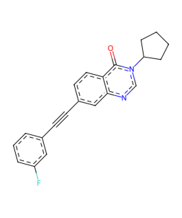 O=c1c2ccc(C#Cc3cccc(F)c3)cc2ncn1C1CCCC1